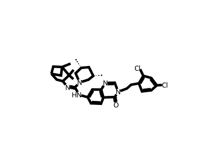 C[C@@H]1C[C@H](C)CN(/C(=N\C2CC3CC(C)(C3)C2(C)C)Nc2ccc3c(=O)n(CCc4ccc(Cl)cc4Cl)cnc3c2)C1